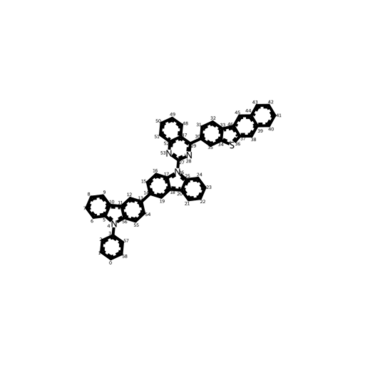 c1ccc(-n2c3ccccc3c3cc(-c4ccc5c(c4)c4ccccc4n5-c4nc(-c5ccc6c(c5)sc5cc7ccccc7cc56)c5ccccc5n4)ccc32)cc1